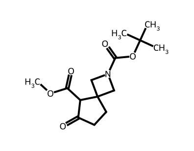 COC(=O)C1C(=O)CCC12CN(C(=O)OC(C)(C)C)C2